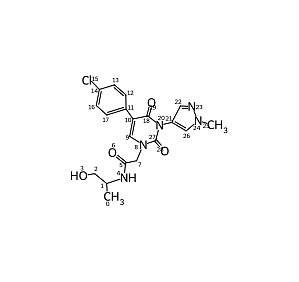 CC(CO)NC(=O)Cn1cc(-c2ccc(Cl)cc2)c(=O)n(-c2cnn(C)c2)c1=O